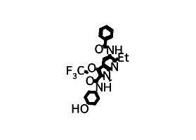 CCc1nc2c(cc1NC(=O)c1ccccc1)c(OCC(F)(F)F)c(C(=O)NC1CCC(O)CC1)n2C